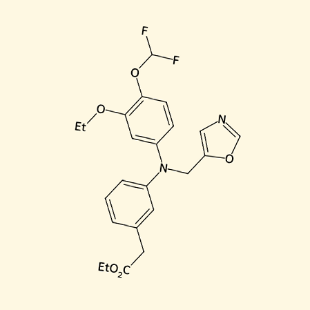 CCOC(=O)Cc1cccc(N(Cc2cnco2)c2ccc(OC(F)F)c(OCC)c2)c1